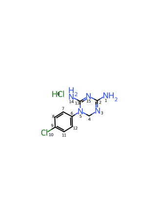 Cl.NC1=NCN(c2ccc(Cl)cc2)C(N)=N1